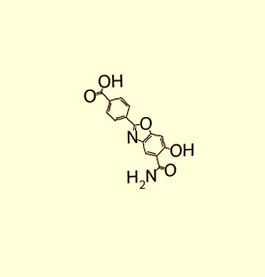 NC(=O)c1cc2nc(-c3ccc(C(=O)O)cc3)oc2cc1O